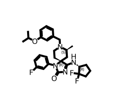 CC(C)Oc1cccc(CN2CC[C@@]3(C[C@@H]2C)C(N[C@@H]2CCCC2(F)F)=NC(=O)N3c2cccc(F)c2)c1